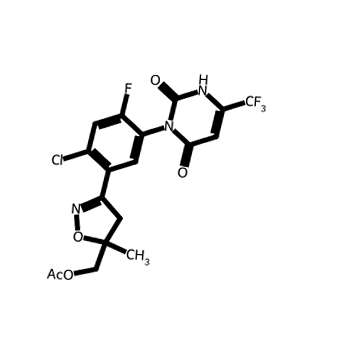 CC(=O)OCC1(C)CC(c2cc(-n3c(=O)cc(C(F)(F)F)[nH]c3=O)c(F)cc2Cl)=NO1